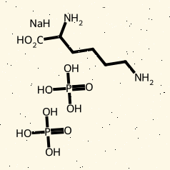 NCCCCC(N)C(=O)O.O=P(O)(O)O.O=P(O)(O)O.[NaH]